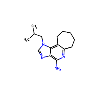 CC(C)Cn1cnc2c(N)nc3c(c21)CCCCC3